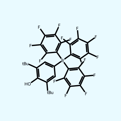 CC(C)(C)c1cc([B-](c2c(F)c(F)c(F)c(F)c2F)(c2c(F)c(F)c(F)c(F)c2F)c2c(F)c(F)c(F)c(F)c2F)cc(C(C)(C)C)c1O